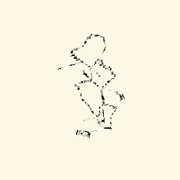 CC1CCCC2=CC[C@H]3[C@@H]4CC[C@H](O)[C@@]4(C)CC[C@@H]3[C@]21C